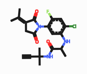 C#CC(C)(C)NC(=O)C(C)Nc1cc(N2C(=O)CC(=C(C)C)C2=O)c(F)cc1Cl